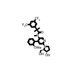 COc1ccccc1-c1cc(N2CC[C@H](O)[C@H]2CO)ncc1N(C)C(=O)C(C)(C)c1cc(C(F)(F)F)cc(C(F)(F)F)c1